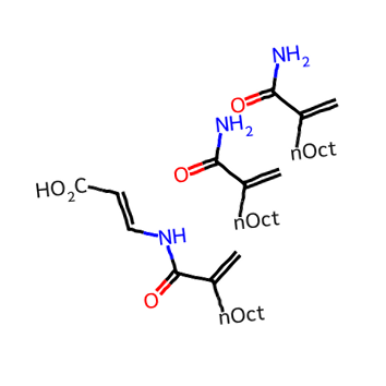 C=C(CCCCCCCC)C(=O)NC=CC(=O)O.C=C(CCCCCCCC)C(N)=O.C=C(CCCCCCCC)C(N)=O